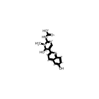 CN1C(NC(=O)O)=NC=C(c2ccc3cc(O)ccc3n2)C1O